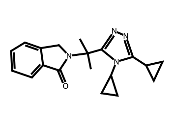 CC(C)(c1nnc(C2CC2)n1C1CC1)N1Cc2ccccc2C1=O